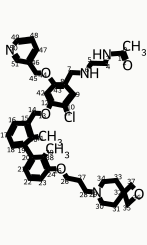 CC(=O)NCCNCc1cc(Cl)c(OCc2cccc(-c3cccc(OCCCN4CCC5(CC4)COC5)c3C)c2C)cc1OCc1cccnc1